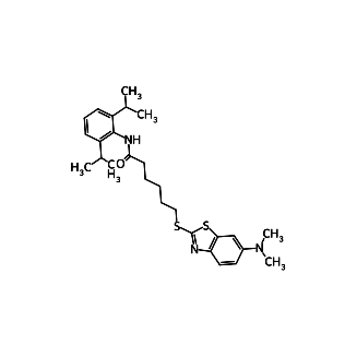 CC(C)c1cccc(C(C)C)c1NC(=O)CCCCCSc1nc2ccc(N(C)C)cc2s1